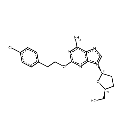 Nc1nc(OCCc2ccc(Cl)cc2)nc2c1ncn2[C@H]1CC[C@@H](CO)O1